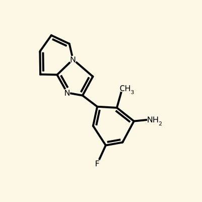 Cc1c(N)cc(F)cc1-c1cn2ccccc2n1